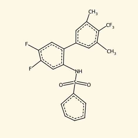 Cc1cc(-c2cc(F)c(F)cc2NS(=O)(=O)c2ccccc2)cc(C)c1C(F)(F)F